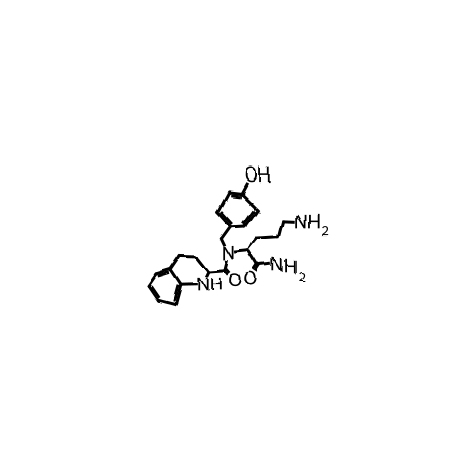 NCCC[C@@H](C(N)=O)N(Cc1ccc(O)cc1)C(=O)C1CCc2ccccc2N1